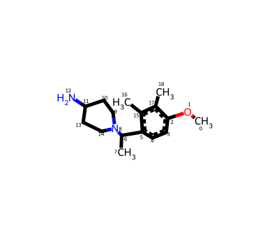 COc1ccc(C(C)N2CCC(N)CC2)c(C)c1C